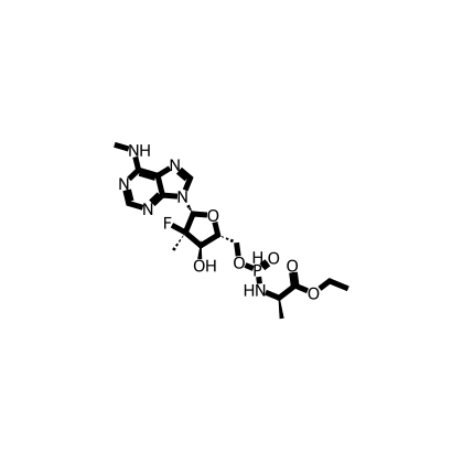 CCOC(=O)[C@@H](C)N[PH](=O)OC[C@H]1O[C@@H](n2cnc3c(NC)ncnc32)[C@](C)(F)[C@@H]1O